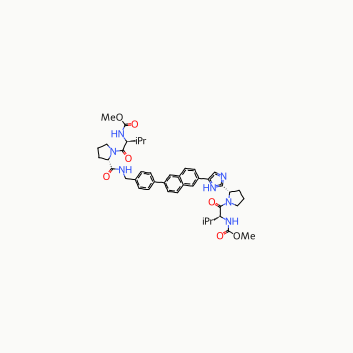 COC(=O)N[C@H](C(=O)N1CCC[C@H]1C(=O)NCc1ccc(-c2ccc3cc(-c4cnc([C@@H]5CCCN5C(=O)[C@@H](NC(=O)OC)C(C)C)[nH]4)ccc3c2)cc1)C(C)C